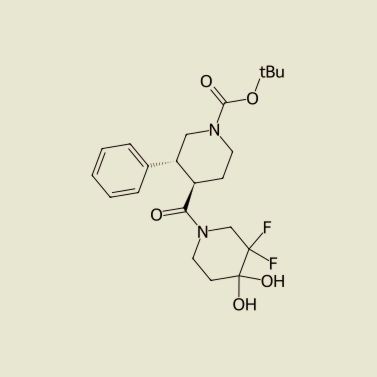 CC(C)(C)OC(=O)N1CC[C@@H](C(=O)N2CCC(O)(O)C(F)(F)C2)[C@H](c2ccccc2)C1